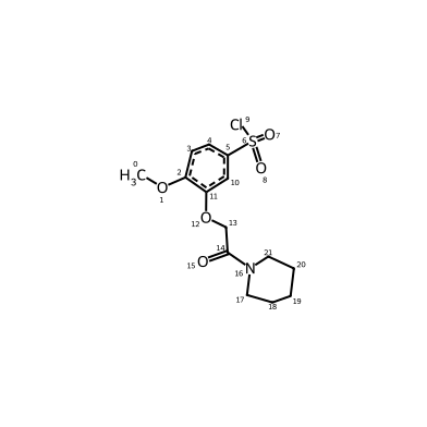 COc1ccc(S(=O)(=O)Cl)cc1OCC(=O)N1CCCCC1